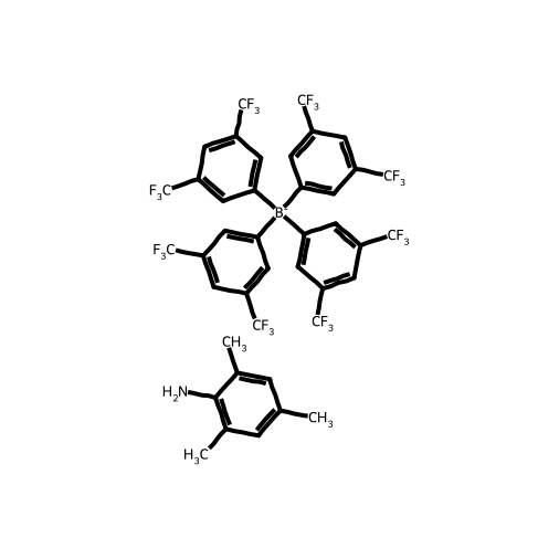 Cc1cc(C)c(N)c(C)c1.FC(F)(F)c1cc([B-](c2cc(C(F)(F)F)cc(C(F)(F)F)c2)(c2cc(C(F)(F)F)cc(C(F)(F)F)c2)c2cc(C(F)(F)F)cc(C(F)(F)F)c2)cc(C(F)(F)F)c1